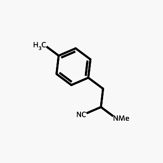 CNC(C#N)Cc1ccc(C)cc1